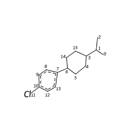 CC(C)C1CCC(c2ccc(Cl)cc2)CC1